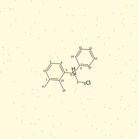 Cc1cccc([SiH](CCl)c2ccccc2)c1C